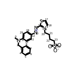 CN(Cc1ccccc1)c1ccc(/N=N/c2scc[n+]2CCCCS(=O)(=O)[O-])cc1